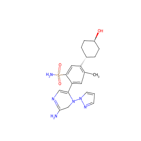 Cc1cc(C2=CN=C(N)CN2n2cccn2)c(S(N)(=O)=O)cc1[C@H]1CC[C@H](O)CC1